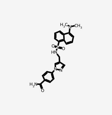 CN(C)c1cccc2c(S(=O)(=O)NCc3cnn(-c4ccc(C(N)=O)cc4)c3)cccc12